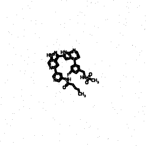 CCCCC(=O)Nc1cncc(-c2cc3c(-c4cc5c(-c6cc(F)cc(CNS(C)(=O)=O)c6)ccnc5[nH]4)n[nH]c3cn2)c1